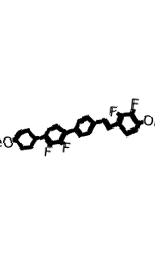 COc1ccc(/C=C/c2ccc(-c3ccc(C4CCC(OC)CC4)c(F)c3F)cc2)c(F)c1F